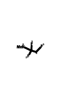 CNC(F)(F)CF